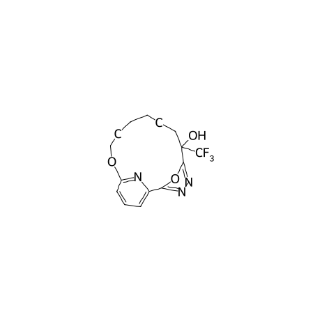 OC1(C(F)(F)F)CCCCCCOc2cccc(n2)-c2nnc1o2